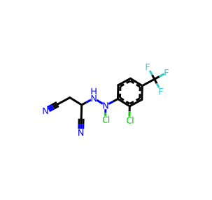 N#CCC(C#N)NN(Cl)c1ccc(C(F)(F)F)cc1Cl